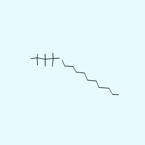 CCCCCCCCCCOC(F)(F)C(F)(F)C(O)(F)F